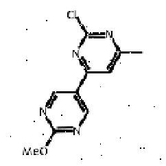 COc1ncc(-c2cc(C)nc(Cl)n2)cn1